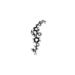 CCCOCc1cc2ncn(-c3ccc(OCCN(C)C)cc3)c(=O)c2s1